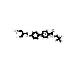 NCC(=CF)COc1ccc(C23CCC(C(=O)NCC(F)(F)F)(CC2)CC3)cc1